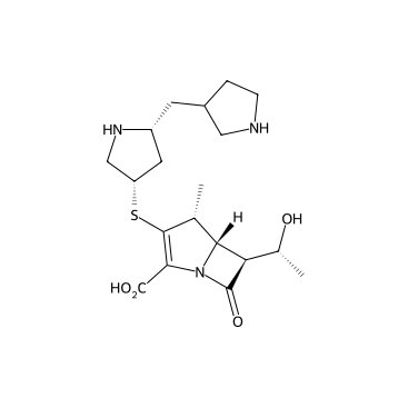 C[C@@H](O)[C@H]1C(=O)N2C(C(=O)O)=C(S[C@@H]3CN[C@H](CC4CCNC4)C3)[C@H](C)[C@H]12